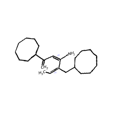 C=C(/C=C(N)\C(=C/C)CC1CCCCCCC1)C1CCCCCCC1